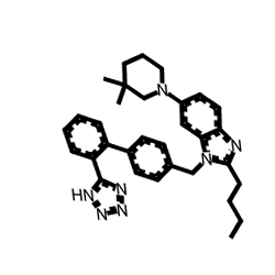 CCCCc1nc2ccc(N3CCCC(C)(C)C3)cc2n1Cc1ccc(-c2ccccc2-c2nnn[nH]2)cc1